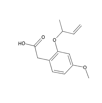 C=CC(C)Oc1cc(OC)ccc1CC(=O)O